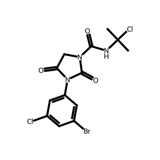 CC(C)(Cl)NC(=O)N1CC(=O)N(c2cc(Cl)cc(Br)c2)C1=O